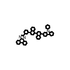 c1ccc(-n2c3ccccc3c3ccc(-c4ccc(-c5ccc(-c6cccc(-c7cnc8c9ccccc9c9ccccc9c8n7)c6)c6ccccc56)c5ccccc45)cc32)cc1